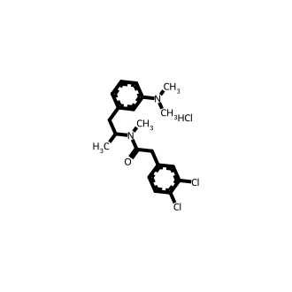 CC(Cc1cccc(N(C)C)c1)N(C)C(=O)Cc1ccc(Cl)c(Cl)c1.Cl